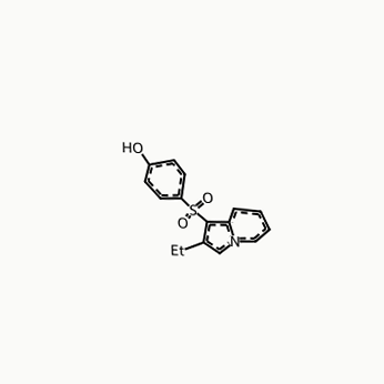 CCc1cn2ccccc2c1S(=O)(=O)c1ccc(O)cc1